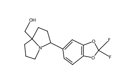 OCC12CCCN1C(c1ccc3c(c1)OC(F)(F)O3)CC2